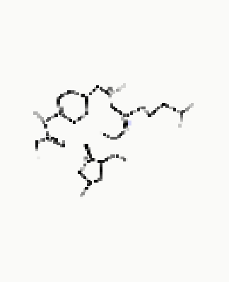 CCC(=O)C(C)C1=CCC(C[C@H](C)C/C(=C\C(C)C(C)C2CC(C)C[C@H]2C)CCCC(C)C)CC1